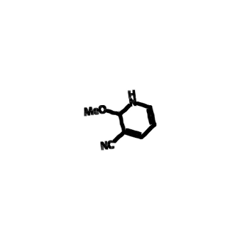 CO[C]1NC=CC=C1C#N